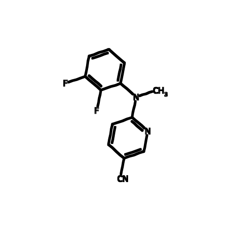 CN(c1ccc(C#N)cn1)c1cccc(F)c1F